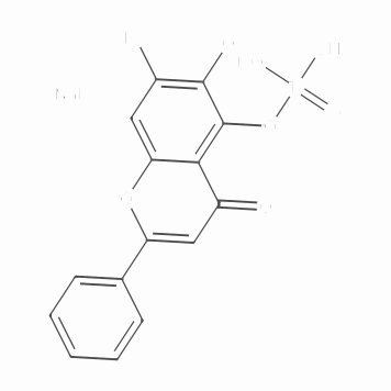 O=c1cc(-c2ccccc2)oc2cc(O)c(O)c(OP(=O)(O)O)c12.[NaH]